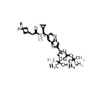 CC(C)(C)OC[C@H](NC(=O)OC(C)(C)C)c1cn2ncc([C@H](NC(=O)CC3CC(F)(F)C3)C3CC3)cc2n1